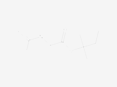 CCC(C)(C)OC(=O)CNC(=O)I